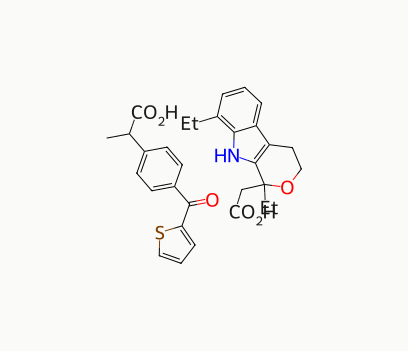 CC(C(=O)O)c1ccc(C(=O)c2cccs2)cc1.CCc1cccc2c3c([nH]c12)C(CC)(CC(=O)O)OCC3